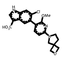 COc1nc(N2CCC3(COC3)C2)ccc1-c1cc2c(C(=O)O)c[nH]c2cc1Cl